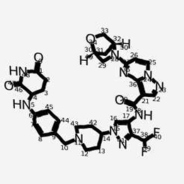 O=C1CCC(Nc2ccc(CN3CCC(n4cc(NC(=O)c5cnn6ccc(N7C[C@H]8C[C@@H]7CO8)nc56)c(C(F)F)n4)CC3)cc2)C(=O)N1